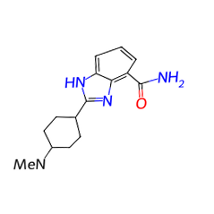 CNC1CCC(c2nc3c(C(N)=O)cccc3[nH]2)CC1